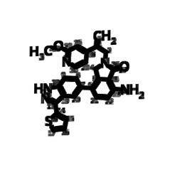 C=C(CN1Cc2c(-c3ccc4[nH]nc(-c5cccs5)c4c3)ccc(N)c2C1=O)c1ccnc(OC)c1